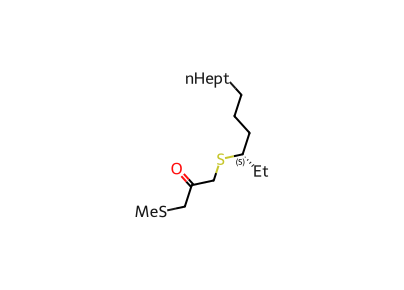 CCCCCCCCCC[C@H](CC)SCC(=O)CSC